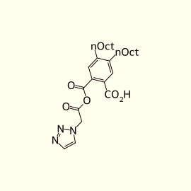 CCCCCCCCc1cc(C(=O)O)c(C(=O)OC(=O)Cn2ccnn2)cc1CCCCCCCC